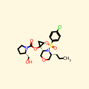 CCC[C@@H]1COC[C@H](C2(OC(=O)N3CCC[C@H]3CO)CC2)N1S(=O)(=O)c1ccc(Cl)cc1